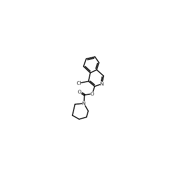 O=C(Oc1ncc2ccccc2c1Cl)N1CCCCC1